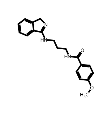 COc1ccc(C(=O)NCCCNC2=NCc3ccccc32)cc1